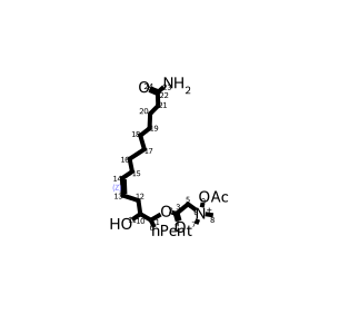 CCCCCC(OC(=O)C[N+](C)(C)OC(C)=O)C(O)C/C=C\CCCCCCCC(N)=O